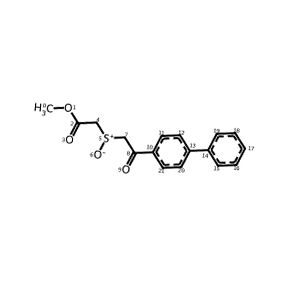 COC(=O)C[S+]([O-])CC(=O)c1ccc(-c2ccccc2)cc1